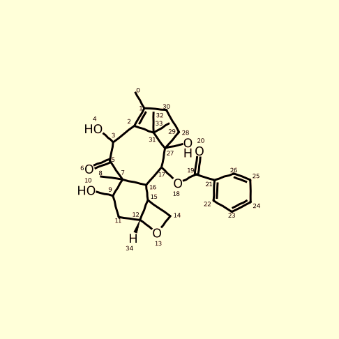 CC1=C2C(O)C(=O)C3(C)C(O)C[C@H]4OCC4C3C(OC(=O)c3ccccc3)C(O)(CC1)C2(C)C